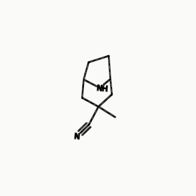 CC1(C#N)CC2CCC(C1)N2